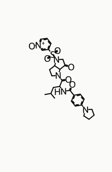 CC(C)CC(NC(=O)c1ccc(N2CCCC2)cc1)C(=O)N1CCC2C1C(=O)CN2S(=O)(=O)c1ccc[n+]([O-])c1